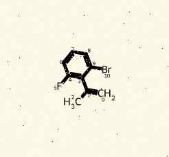 C=C(C)c1c(F)cccc1Br